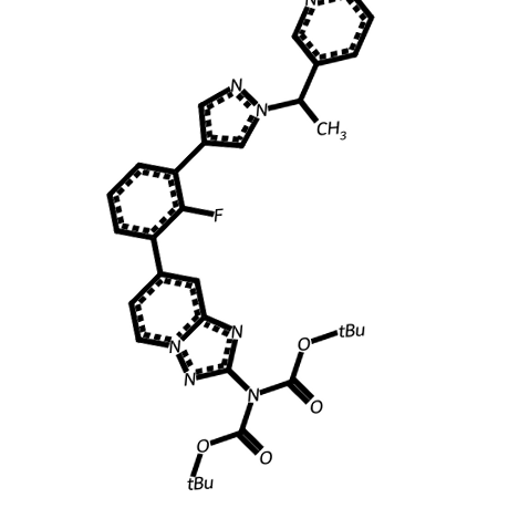 CC(c1cccnc1)n1cc(-c2cccc(-c3ccn4nc(N(C(=O)OC(C)(C)C)C(=O)OC(C)(C)C)nc4c3)c2F)cn1